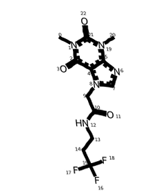 Cn1c(=O)c2c(ncn2CC(=O)NCCC(F)(F)F)n(C)c1=O